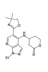 CCn1ncc2c(NC3CCOC(=O)C3)c(C3=NC(C)(C)CO3)cnc21